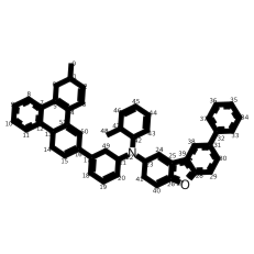 CC1C=CC2=C(C1)c1ccccc1C1CC=C(C3=CC=CC(N(C4C=c5c(oc6ccc(-c7ccccc7)cc56)=CC4)C4C=CC=CC4C)C3)C=C21